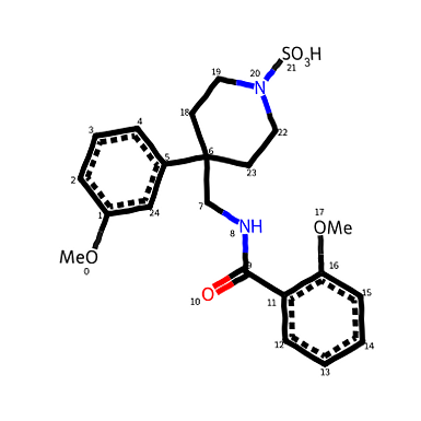 COc1cccc(C2(CNC(=O)c3ccccc3OC)CCN(S(=O)(=O)O)CC2)c1